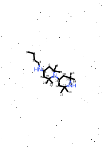 CCCCNC1CC(C)(C)N(C2CC(C)(C)NC(C)(C)C2)C(C)(C)C1